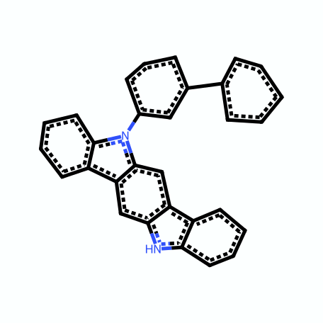 c1ccc(-c2cccc(-n3c4ccccc4c4cc5[nH]c6ccccc6c5cc43)c2)cc1